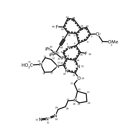 COCOc1cc(-c2ncc3c(N4CCN(C(=O)O)CC4)nc(OCC4CCCN4CCCN=[N+]=[N-])nc3c2F)c2c(C#C[Si](C(C)C)(C(C)C)C(C)C)c(F)ccc2c1